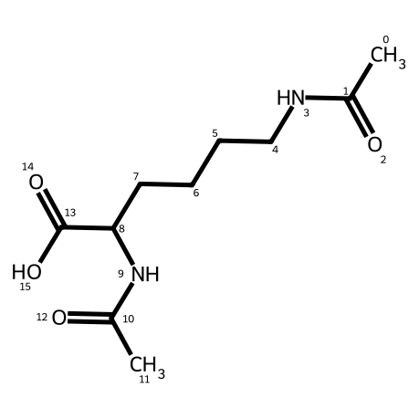 CC(=O)NCCCCC(NC(C)=O)C(=O)O